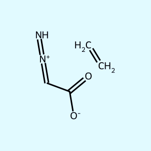 C=C.N=[N+]=CC(=O)[O-]